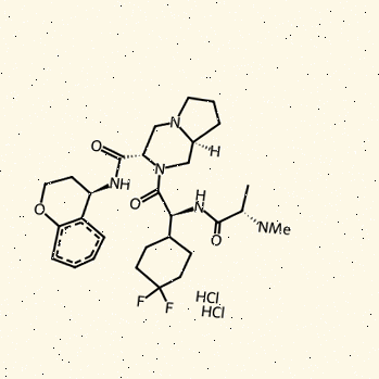 CN[C@@H](C)C(=O)N[C@H](C(=O)N1C[C@@H]2CCCN2C[C@H]1C(=O)N[C@@H]1CCOc2ccccc21)C1CCC(F)(F)CC1.Cl.Cl